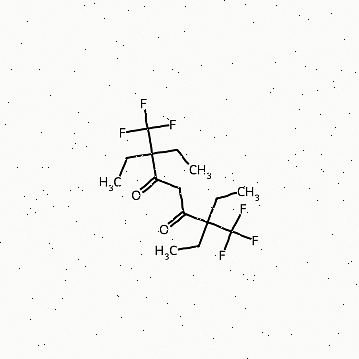 CCC(CC)(C(=O)CC(=O)C(CC)(CC)C(F)(F)F)C(F)(F)F